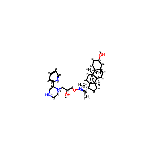 CC(=NOCC(O)CN1CCNCC1c1ccccn1)[C@H]1CC[C@H]2[C@@H]3CC=C4CC(O)CC[C@]4(C)[C@H]3CC[C@]12C